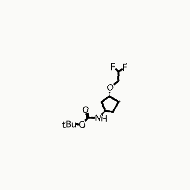 CC(C)(C)OC(=O)N[C@@H]1CC[C@@H](OCC(F)F)C1